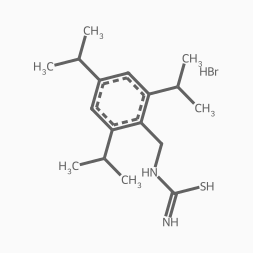 Br.CC(C)c1cc(C(C)C)c(CNC(=N)S)c(C(C)C)c1